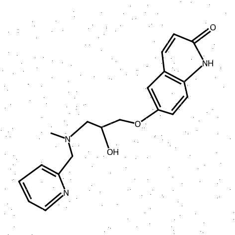 CN(Cc1ccccn1)CC(O)COc1ccc2[nH]c(=O)ccc2c1